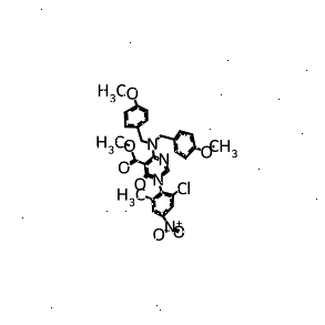 COC(=O)c1c(N(Cc2ccc(OC)cc2)Cc2ccc(OC)cc2)ncn(-c2c(C)cc([N+](=O)[O-])cc2Cl)c1=O